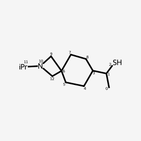 CC(S)C1CCC2(CC1)CN(C(C)C)C2